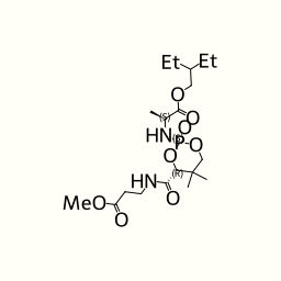 CCC(CC)COC(=O)[C@H](C)N[P@]1(=O)OCC(C)(C)[C@H](C(=O)NCCC(=O)OC)O1